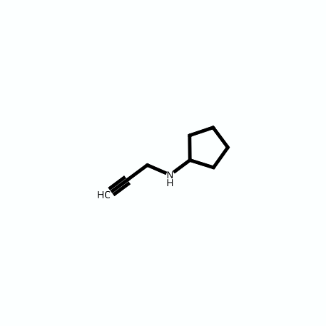 C#CCNC1CCCC1